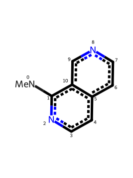 CNc1nccc2ccncc12